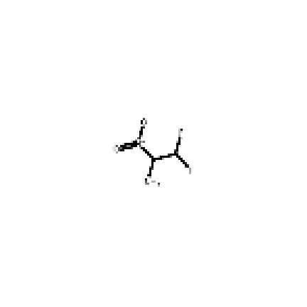 CC(C(F)F)[N+](=O)[O-]